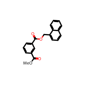 COC(=O)c1cccc(C(=O)OCc2cccc3ccccc23)c1